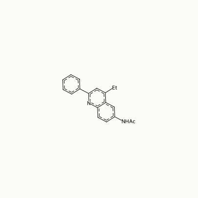 CCc1cc(-c2ccccc2)nc2ccc(NC(C)=O)cc12